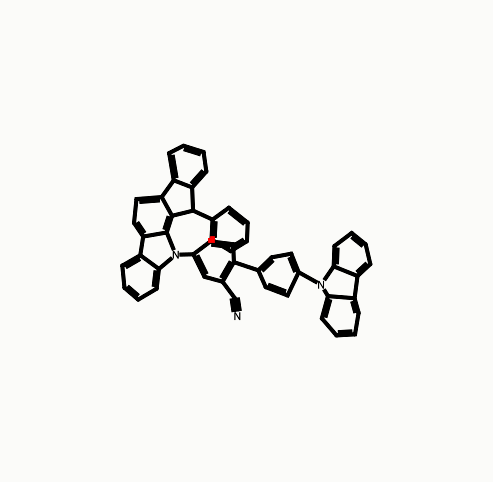 N#Cc1cc(-n2c3ccccc3c3ccc4c(c32)C(c2ccccc2)c2ccccc2-4)ccc1-c1ccc(-n2c3ccccc3c3ccccc32)cc1